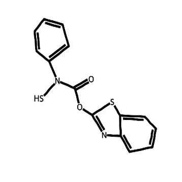 O=C(Oc1nc2ccccc2s1)N(S)c1ccccc1